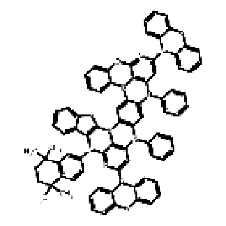 CC1(C)CCC(C)(C)c2cc(N3c4nc(N5c6ccccc6Sc6ccccc65)cc5c4B(c4cc6c(cc4N5c4ccccc4)N(c4ccccc4)c4cc(N5c7ccccc7Sc7ccccc75)nc5c4B6c4ccccc4O5)c4sc5ccccc5c43)ccc21